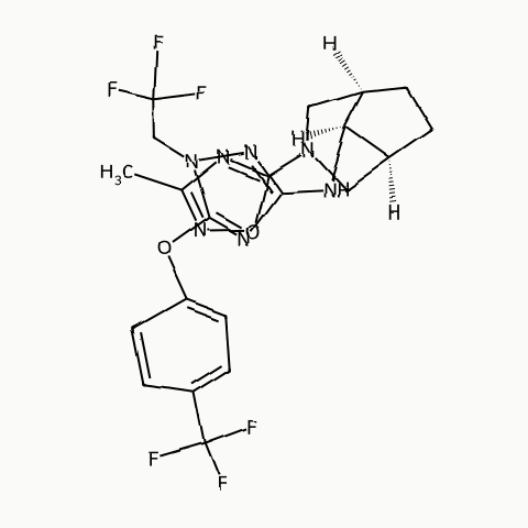 Cc1noc(N2C[C@H]3CC[C@@H](C2)[C@H]3Nc2nc(Oc3ccc(C(F)(F)F)cc3)n(CC(F)(F)F)n2)n1